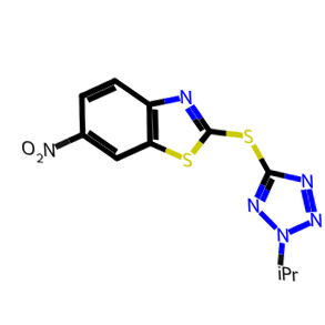 CC(C)n1nnc(Sc2nc3ccc([N+](=O)[O-])cc3s2)n1